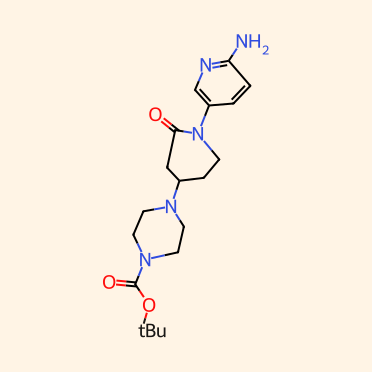 CC(C)(C)OC(=O)N1CCN(C2CCN(c3ccc(N)nc3)C(=O)C2)CC1